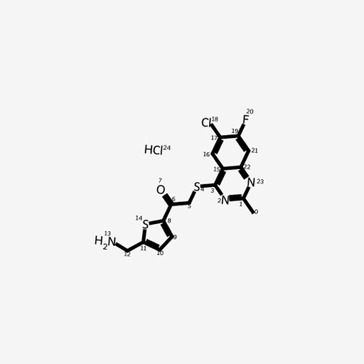 Cc1nc(SCC(=O)c2ccc(CN)s2)c2cc(Cl)c(F)cc2n1.Cl